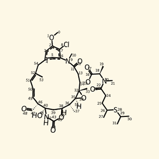 COc1cc2cc(c1Cl)N(C)C(=O)C[C@H](OC(=O)[C@@H](C)N(C)C(=O)CCC(C)SC(C)C)[C@]1(C)O[C@H]1[C@H](C)[C@@H]1C[C@@](O)(NC(=O)O1)[C@H](C=O)/C=C/C=C(\C)C2